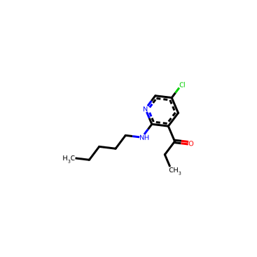 CCCCCNc1ncc(Cl)cc1C(=O)CC